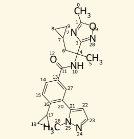 Cc1nc(C(C)(CC2CC2)NC(=O)c2ccc(C3CC3)c(-c3ccnn3C)c2)no1